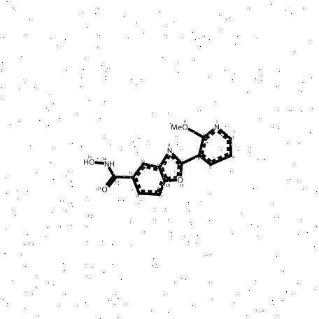 COc1ncccc1-c1nc2cc(C(=O)NO)ccc2o1